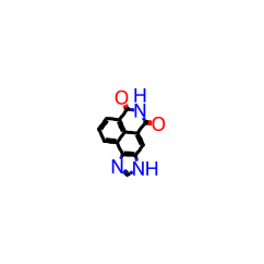 O=C1NC(=O)c2cc3[nH]cnc3c3cccc1c23